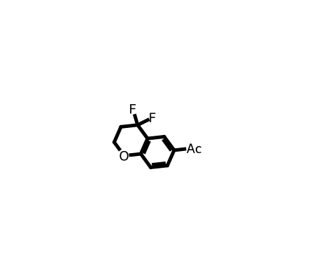 CC(=O)c1ccc2c(c1)C(F)(F)CCO2